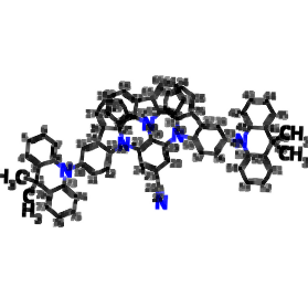 CC1(C)c2ccccc2N(c2ccc3c(c2)c2ccccc2n3-c2cc(C#N)cc(-n3c4ccccc4c4cc(N5c6ccccc6C(C)(C)c6ccccc65)ccc43)c2-n2c3ccccc3c3ccccc32)c2ccccc21